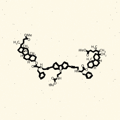 COC(=O)CC[C@@H](C)C(C)C1(C)CCC2[C@@H](CC[C@@H]3C[C@H](OC(=O)[C@H](Cc4ccccc4)NCC#Cc4ccc5c6ccc(C#CCN[C@@H](Cc7ccccc7)C(=O)O[C@@H]7CCC8(C)C9CCC%10(C)C([C@H](C)CCC(=O)OC)CC[C@H]%10[C@@H]9CC[C@@H]8C7)cc6n(CCNC(=O)OC(C)(C)C)c5c4)CCC23C)C1